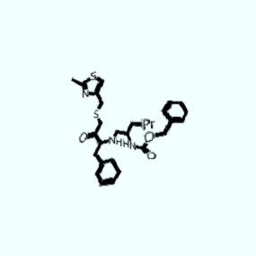 Cc1nc(CSCC(=O)C(Cc2ccccc2)NCC(CC(C)C)NC(=O)OCc2ccccc2)cs1